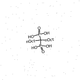 CCCCCCCCC(CCCCCCCC)(P(=O)(O)O)P(=O)(O)O